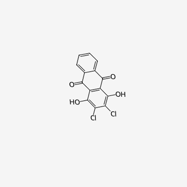 O=C1c2ccccc2C(=O)c2c(O)c(Cl)c(Cl)c(O)c21